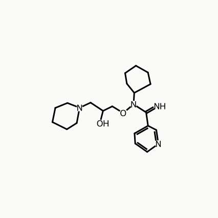 N=C(c1cccnc1)N(OCC(O)CN1CCCCC1)C1CCCCC1